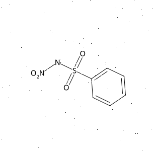 O=[N+]([O-])[N]S(=O)(=O)c1ccccc1